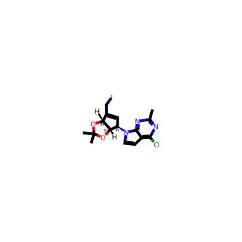 Cc1nc(Cl)c2ccn([C@@H]3C=C(CI)[C@H]4OC(C)(C)O[C@H]43)c2n1